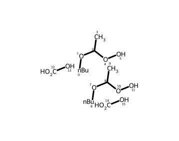 CCCCOC(C)OO.CCCCOC(C)OO.O=C(O)O.O=C(O)O